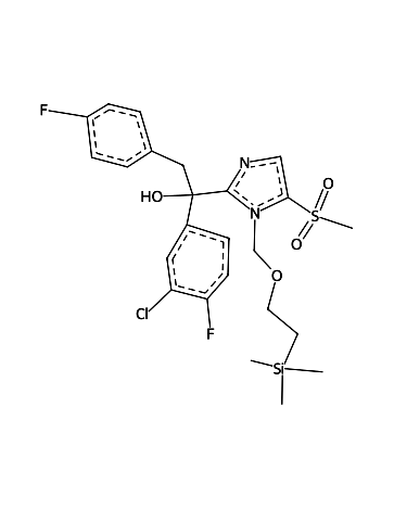 C[Si](C)(C)CCOCn1c(S(C)(=O)=O)cnc1C(O)(Cc1ccc(F)cc1)c1ccc(F)c(Cl)c1